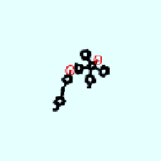 C=Cc1ccc(C#Cc2ccc(Oc3ccc(C4=C(c5ccccc5)C(=O)C(c5ccccc5)=C4c4ccc(C)cc4)cc3)cc2)cc1